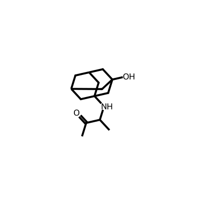 CC(=O)C(C)NC12CC3CC(CC(O)(C3)C1)C2